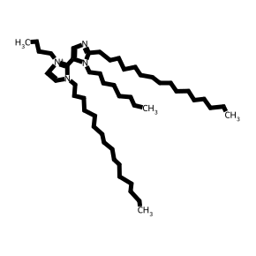 CCCCCCCCCCCCCCCCc1ncc(-c2n(CCCCCCCCCCCCCCCC)cc[n+]2CCCC)n1CCCCCCCC